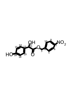 O=C(OCc1ccc([N+](=O)[O-])cc1)C(O)c1ccc(O)cc1